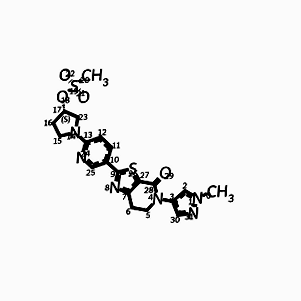 Cn1cc(N2CCc3nc(-c4ccc(N5CC[C@H](OS(C)(=O)=O)C5)nc4)sc3C2=O)cn1